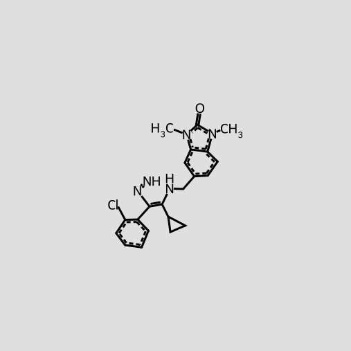 Cn1c(=O)n(C)c2cc(CN/C(=C(\N=N)c3ccccc3Cl)C3CC3)ccc21